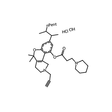 C#CCN1CCC2=C(C1)c1c(OC(=O)CCN3CCCCC3)cc(C(C)C(C)CCCCC)cc1OC2(C)C.Cl.Cl